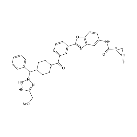 CC(=O)OCC1=NN(C(c2ccccc2)C2CCN(C(=O)c3cc(-c4nc5cc(NC(=O)[C@@H]6C[C@@H]6F)ccc5o4)ccn3)CC2)NN1